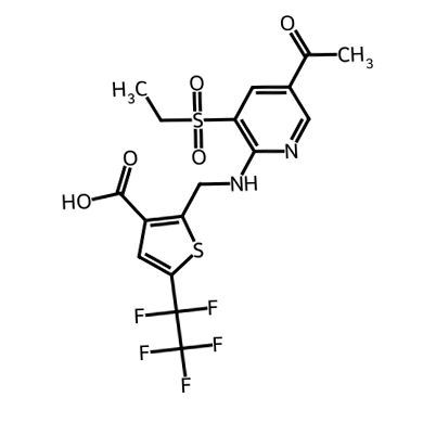 CCS(=O)(=O)c1cc(C(C)=O)cnc1NCc1sc(C(F)(F)C(F)(F)F)cc1C(=O)O